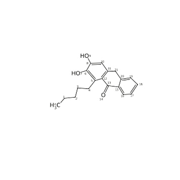 CCCCCc1c(O)c(O)cc2c1C(=O)c1ccccc1C2